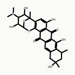 CC1CC(C)(O)Cc2cc3c(c(O)c21)C(=O)c1c(O)cc2c(c1C3=O)OC1OC2(C)C(O)C(N(C)C)C1O